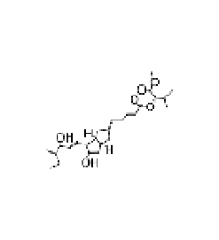 CCC(C)[C@H](O)/C=C/[C@@H]1[C@H]2C/C(=C/CCCC(=O)O[C@H](C(=O)OC)C(C)C)C[C@H]2C[C@H]1O